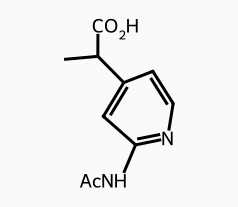 CC(=O)Nc1cc(C(C)C(=O)O)ccn1